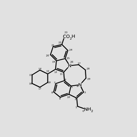 NCc1cn2c3c(cccc13)-c1c(C3CCCCC3)c3ccc(C(=O)O)cc3n1CCC2